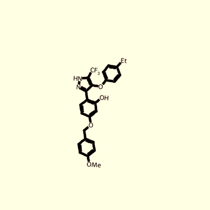 CCc1ccc(Oc2c(-c3ccc(OCc4ccc(OC)cc4)cc3O)n[nH]c2C(F)(F)F)cc1